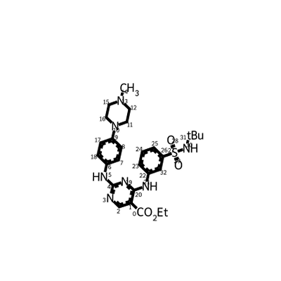 CCOC(=O)c1cnc(Nc2ccc(N3CCN(C)CC3)cc2)nc1Nc1cccc(S(=O)(=O)NC(C)(C)C)c1